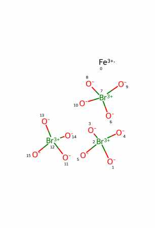 [Fe+3].[O-][Br+3]([O-])([O-])[O-].[O-][Br+3]([O-])([O-])[O-].[O-][Br+3]([O-])([O-])[O-]